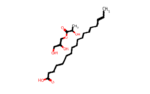 CC(O)C(=O)OCC(O)CO.CCCCCCCCCCCCCCCCCC(=O)O